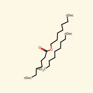 CCCCCCCCCCCCCCCCCC(=O)O.CCCCCCCCCCCCCCCCOC(=O)CCCCCCCCCCCCCCC